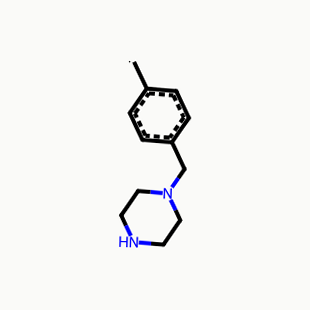 [CH2]c1ccc(CN2CCNCC2)cc1